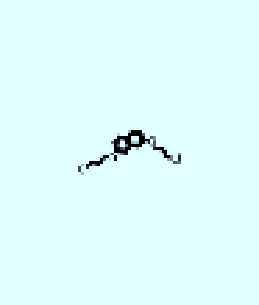 ClCCCOc1ccc2ccc(OCCCCl)cc2c1